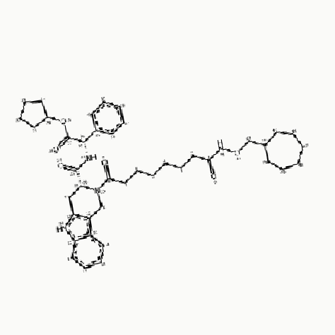 O=C(CCCCCCC(=O)N1Cc2c([nH]c3ccccc23)C[C@@H]1C(=O)N[C@H](C(=O)OC1CCCC1)c1ccccc1)NOCC1CCCCCC1